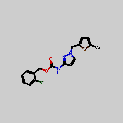 CC(=O)c1ccc(Cn2ccc(NC(=O)OCc3ccccc3Cl)n2)s1